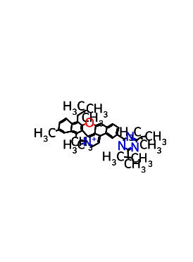 Cc1ccc2c(CC(C)(C)C)c3c(c(C)c2c1)-c1c2c(cc4ccc(-c5nc(C(C)(C)C)nc(C(C)(C)C)n5)cc4c2cc[n+]1C)O3